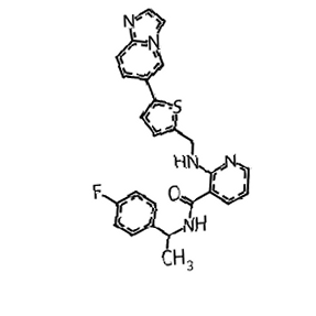 CC(NC(=O)c1cccnc1NCc1ccc(-c2ccc3nccn3c2)s1)c1ccc(F)cc1